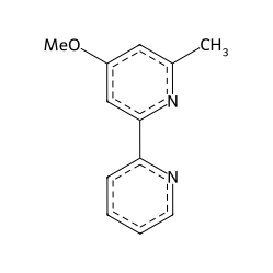 COc1cc(C)nc(-c2ccccn2)c1